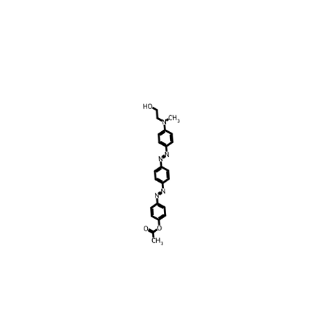 CC(=O)Oc1ccc(N=Nc2ccc(N=Nc3ccc(N(C)CCO)cc3)cc2)cc1